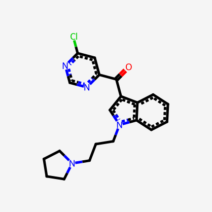 O=C(c1cc(Cl)ncn1)c1cn(CCCN2CCCC2)c2ccccc12